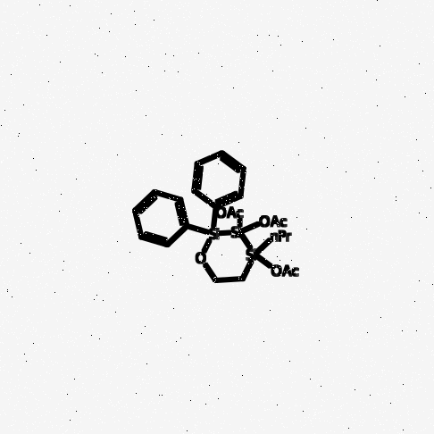 CCC[Si]1(OC(C)=O)CCO[Si](c2ccccc2)(c2ccccc2)[Si]1(OC(C)=O)OC(C)=O